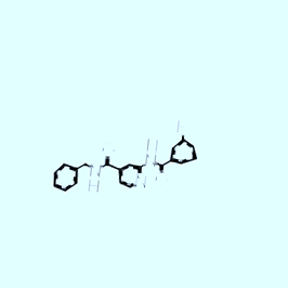 O=C(NCc1ccccc1)c1ccnc(NC(=O)c2cccc(F)c2)c1